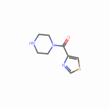 O=C(c1cscn1)N1CCNCC1